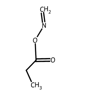 C=NOC(=O)CC